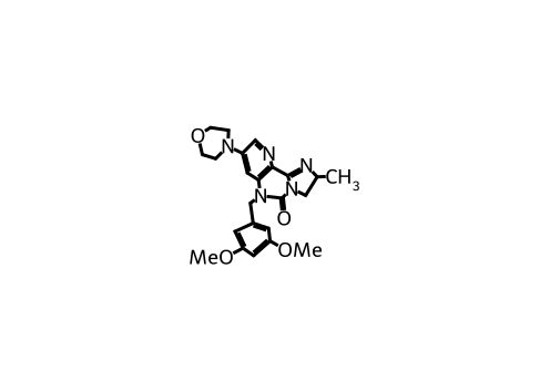 COc1cc(CN2C(=O)N3CC(C)N=C3c3ncc(N4CCOCC4)cc32)cc(OC)c1